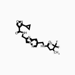 CC(CC(=O)NCc1cnn2cc(CNC(=O)c3conc3C3CC3)nc2c1)C(F)(F)F